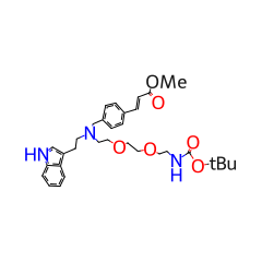 COC(=O)/C=C/c1ccc(CN(CCOCCOCCNC(=O)OC(C)(C)C)CCc2c[nH]c3ccccc23)cc1